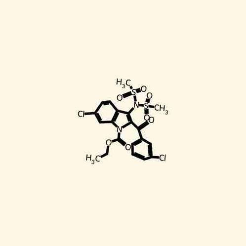 CCOC(=O)n1c(C(=O)c2cccc(Cl)c2)c(N(S(C)(=O)=O)S(C)(=O)=O)c2ccc(Cl)cc21